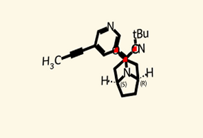 CC#Cc1cncc(C2(C#N)C[C@H]3CC[C@@H](C2)N3C(=O)OC(C)(C)C)c1